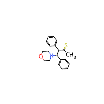 CC(=S)[C@H](c1ccccc1)[C@@H](c1ccccc1)N1CCOCC1